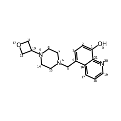 Oc1ccc(CN2CCN(C3COC3)CC2)c2cccnc12